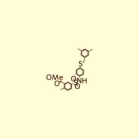 COC(=O)c1cc(S(=O)(=O)Nc2ccc(SCc3cc(C)cc(C)c3)cc2)ccc1C